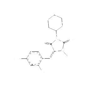 CN1C(=[Se])N(C2CCCCC2)C(=O)C1=Cc1ccc(O)cc1O